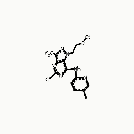 CCOCCn1nc(C(F)(F)F)c2nc(Cl)nc(Nc3ccc(C)cn3)c21